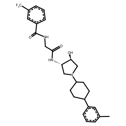 Cc1cccc(C2CCC(N3C[C@H](NC(=O)CNC(=O)c4cccc(C(F)(F)F)c4)[C@@H](O)C3)CC2)c1